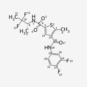 Cc1sc(S(=O)(=O)N[C@H](C)C(C)(F)F)cc1C(=O)Nc1ccc(F)c(F)c1